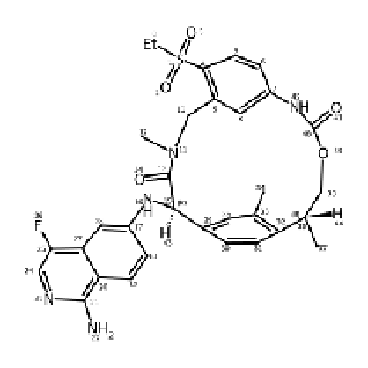 CCS(=O)(=O)c1ccc2cc1CN(C)C(=O)[C@H](Nc1ccc3c(N)ncc(F)c3c1)c1ccc(c(C)c1)[C@@H](C)COC(=O)N2